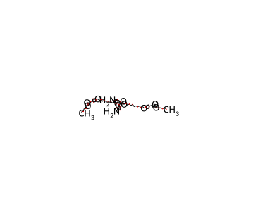 CCCCCCOC(=O)C=Cc1ccc(OCCCCCCCCCCCOC(=O)C(Cc2ccc(N)cc2)(Cc2ccc(N)cc2)C(=O)OCCCCCCCCCCCOc2ccc(C=CC(=O)OCCCCCC)cc2)cc1